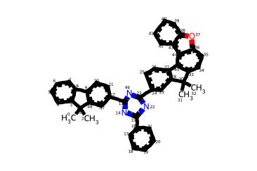 CC1(C)c2ccccc2-c2ccc(-c3nc(-c4ccccc4)nc(-c4ccc5c(c4)C(C)(C)c4ccc6oc7ccccc7c6c4-5)n3)cc21